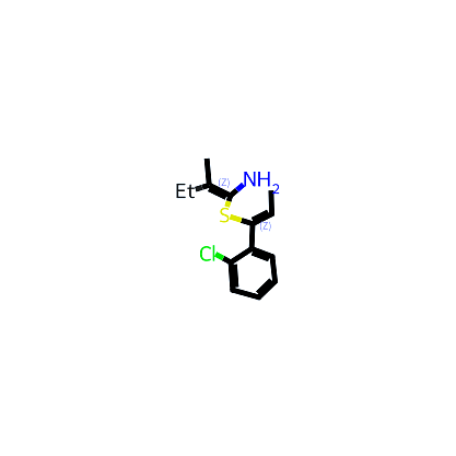 C/C=C(\S/C(N)=C(/C)CC)c1ccccc1Cl